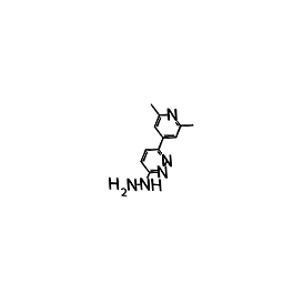 Cc1cc(-c2ccc(NN)nn2)cc(C)n1